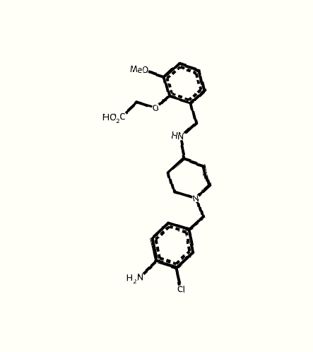 COc1cccc(CNC2CCN(Cc3ccc(N)c(Cl)c3)CC2)c1OCC(=O)O